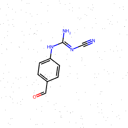 N#CN=C(N)Nc1ccc(C=O)cc1